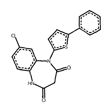 O=C1CC(=O)N(c2ccc(-c3ccccc3)s2)c2cc(Cl)ccc2N1